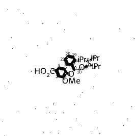 COc1cc(C(=O)O)ccc1O[C@@H](COCS(C(C)C)(C(C)C)C(C)C)c1ccccc1